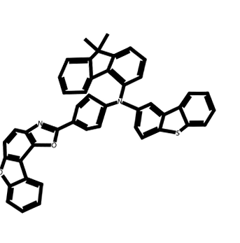 CC1(C)c2ccccc2-c2c(N(c3ccc(-c4nc5ccc6oc7ccccc7c6c5o4)cc3)c3ccc4sc5ccccc5c4c3)cccc21